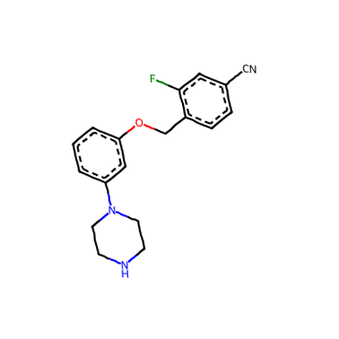 N#Cc1ccc(COc2cccc(N3CCNCC3)c2)c(F)c1